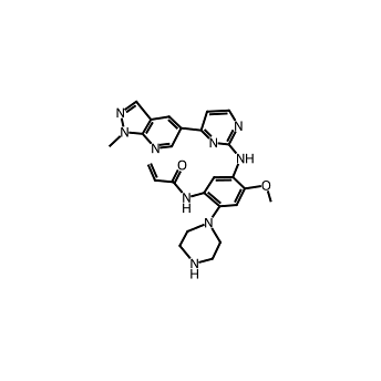 C=CC(=O)Nc1cc(Nc2nccc(-c3cnc4c(cnn4C)c3)n2)c(OC)cc1N1CCNCC1